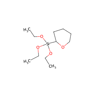 CCO[Si](OCC)(OCC)C1CCCCO1